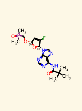 CC(C)(C)C(=O)Nc1ncnc2c1ncn2[C@@H]1O[C@H](OCP(C)(C)=O)C=C1F